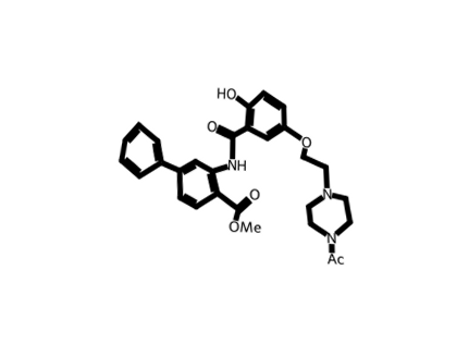 COC(=O)c1ccc(-c2ccccc2)cc1NC(=O)c1cc(OCCN2CCN(C(C)=O)CC2)ccc1O